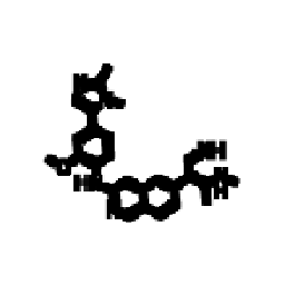 CN/C(C)=C(\C=N)c1ccc2cnc(Nc3ccc(-c4cnc(C)n4C)cc3OC)cc2c1